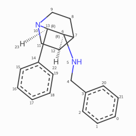 c1ccc(CN[C@@H]2C3CCN(CC3)[C@@H]2c2ccccc2)cc1